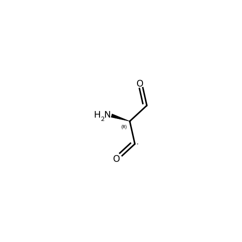 N[C@H]([C]=O)C=O